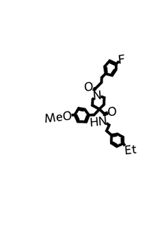 CCc1ccc(CCNC(=O)C2(Cc3ccc(OC)cc3)CCN(C(=O)CCc3ccc(F)cc3)CC2)cc1